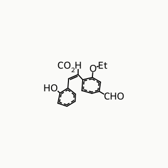 CCOc1cc(C=O)ccc1/C(=C\c1ccccc1O)C(=O)O